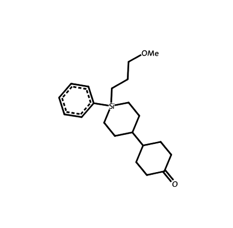 COCCC[Si]1(c2ccccc2)CCC(C2CCC(=O)CC2)CC1